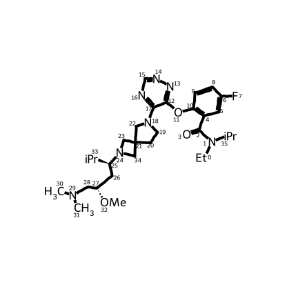 CCN(C(=O)c1cc(F)ccc1Oc1nncnc1N1CCC2(C1)CN([C@@H](C[C@@H](CN(C)C)OC)C(C)C)C2)C(C)C